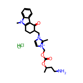 Cc1n(CC2CCc3c(c4ccccc4n3C)C2=O)cc[n+]1COC(=O)OC(C)CCN.Cl.[Cl-]